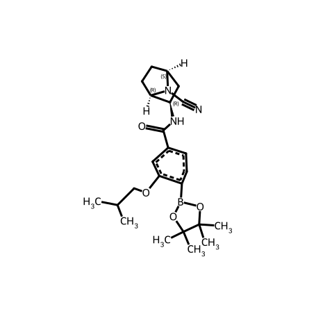 CC(C)COc1cc(C(=O)N[C@@H]2C[C@@H]3CC[C@H]2N3C#N)ccc1B1OC(C)(C)C(C)(C)O1